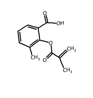 C=C(C)C(=O)Oc1c(C)cccc1C(=O)O